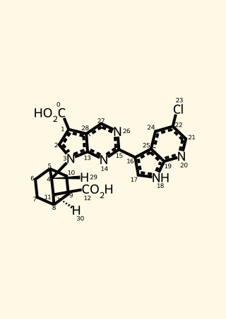 O=C(O)c1cn([C@H]2C3CCC(CC3)[C@@H]2C(=O)O)c2nc(-c3c[nH]c4ncc(Cl)cc34)ncc12